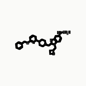 O=C(O)Nc1ccc2c(c1)nc(CN1CCC(c3cccc(OCc4ccccc4)n3)CC1)n2CC1CCO1